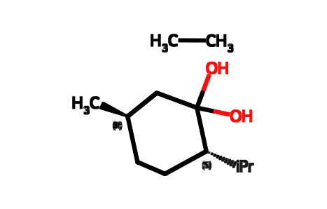 CC.CC(C)[C@@H]1CC[C@@H](C)CC1(O)O